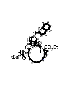 CCOC(=O)[C@@]12C[C@H]1/C=C\CCCCC[C@H](NC(=O)OC(C)(C)C)C(=O)N1C[C@@H]3CN(Cc4ccc5ccccc5n4)C[C@@H]3[C@H]1C(=O)N2